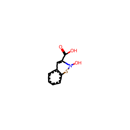 O=C(O)C1=Cc2ccccc2SN1O